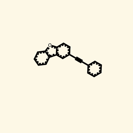 C(#Cc1ccc2oc3ccccc3c2c1)c1ccccc1